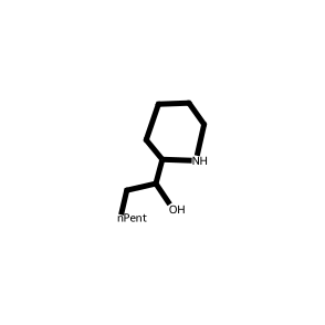 CCCCCCC(O)C1CCCCN1